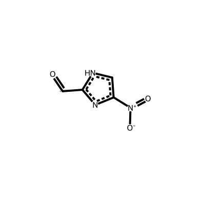 O=[C]c1nc([N+](=O)[O-])c[nH]1